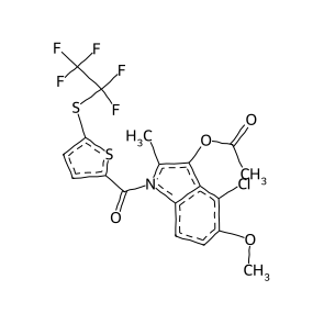 COc1ccc2c(c1Cl)c(OC(C)=O)c(C)n2C(=O)c1ccc(SC(F)(F)C(F)(F)F)s1